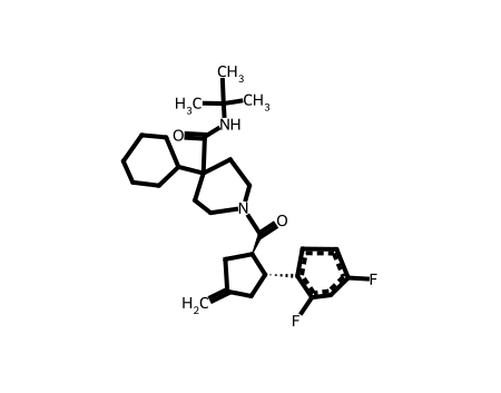 C=C1C[C@@H](C(=O)N2CCC(C(=O)NC(C)(C)C)(C3CCCCC3)CC2)[C@H](c2ccc(F)cc2F)C1